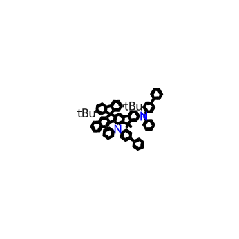 CC(C)(C)c1ccc2c(c1)C1(c3cc(C(C)(C)C)ccc3-2)c2cc3ccccc3cc2-c2c1cc1c(c2N(c2ccccc2)c2ccc(-c3ccccc3)cc2)C(C)(C)c2cc(N(c3ccccc3)c3ccc(-c4ccccc4)cc3)ccc2-1